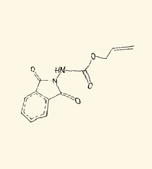 C=CCOC(=O)NN1C(=O)c2ccccc2C1=O